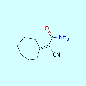 N#CC(C(N)=O)=C1CCCCCC1